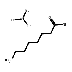 CCN(CC)CC.[NH]C(=O)CCCCCCC(=O)O